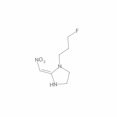 O=[N+]([O-])C=C1NCCN1CCCF